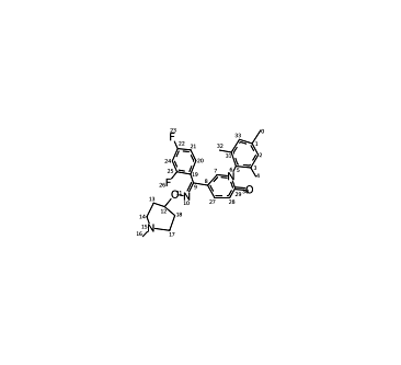 Cc1cc(C)c(-n2cc(C(=NOC3CCN(C)CC3)c3ccc(F)cc3F)ccc2=O)c(C)c1